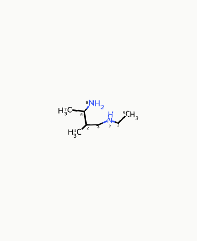 CCNCC(C)C(C)N